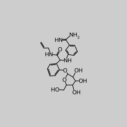 C=CCNC(=O)C(Nc1cccc(C(=N)N)c1)c1ccccc1OC1OC(CO)C(O)C(O)C1O